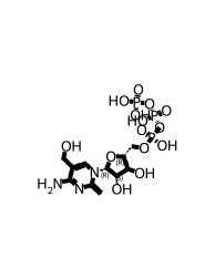 C=C1N=C(N)C(CO)=CN1[C@@H]1O[C@H](COP(=O)(O)OP(=O)(O)OP(=O)(O)O)C(O)[C@@H]1O